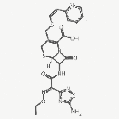 CCO/N=C(/C(=O)NC1C(=O)N2C(C(=O)O)=C(CS/C=C\c3ccccn3)CS[C@H]12)c1nsc(N)n1